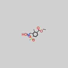 CCOC(=O)c1ccc(S(C)(=O)=O)c(C=NO)c1C